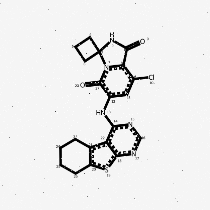 O=C1NC2(CCC2)n2c1c(Cl)cc(Nc1ncnc3sc4c(c13)CCCC4)c2=O